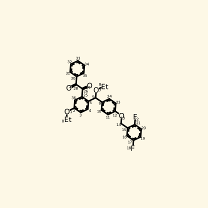 CCOc1ccc(C(OCC)c2ccc(OCc3cc(F)ccc3F)cc2)c(C(=O)C(=O)c2ccccc2)c1